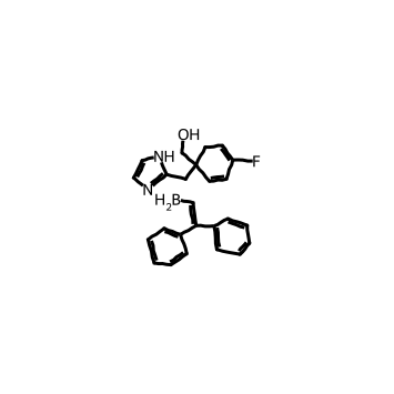 BC=C(c1ccccc1)c1ccccc1.OCC1(Cc2ncc[nH]2)C=CC(F)=CC1